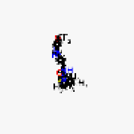 Cc1cc(C)c(-n2c(C)cs/c2=N\C(=O)N/C=C/c2ccc(-c3ncn(-c4ccc(OC(F)(F)F)cc4)n3)cc2)c(C)c1